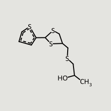 CC(O)CSCC1CSC(c2cccs2)S1